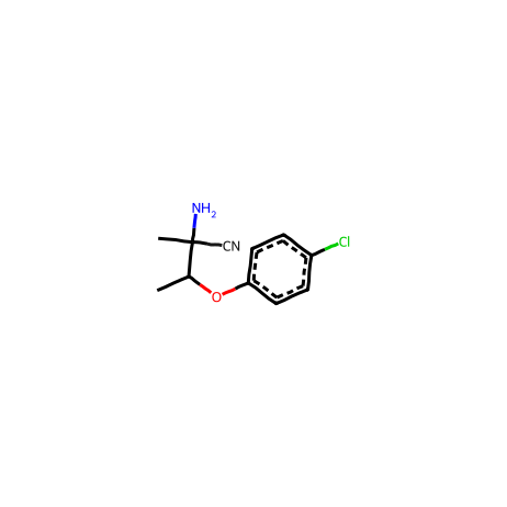 CC(Oc1ccc(Cl)cc1)C(C)(N)C#N